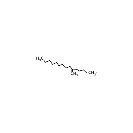 [CH2]CCCCC(=C)CCCCCCCCC